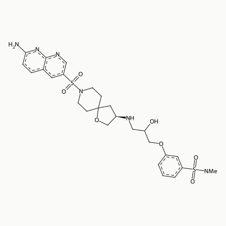 CNS(=O)(=O)c1cccc(OCC(O)CN[C@H]2COC3(CCN(S(=O)(=O)c4cnc5nc(N)ccc5c4)CC3)C2)c1